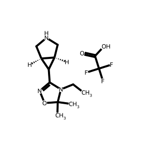 CCN1C(C2[C@H]3CNC[C@@H]23)=NOC1(C)C.O=C(O)C(F)(F)F